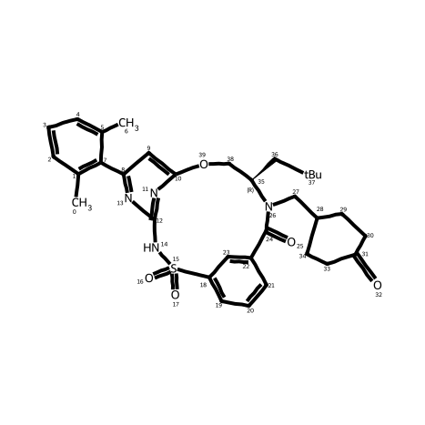 Cc1cccc(C)c1-c1cc2nc(n1)NS(=O)(=O)c1cccc(c1)C(=O)N(CC1CCC(=O)CC1)[C@H](CC(C)(C)C)CO2